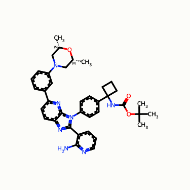 C[C@@H]1CN(c2cccc(-c3ccc4nc(-c5cccnc5N)n(-c5ccc(C6(NC(=O)OC(C)(C)C)CCC6)cc5)c4n3)c2)C[C@H](C)O1